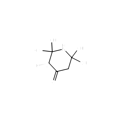 CC1(C)CC(=O)[C@H](F)C(C)(C)N1